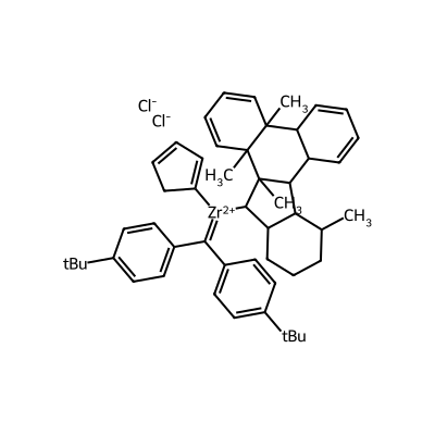 CC1CCCC2C1C1C3C=CC=CC3C3(C)C=CC=CC3(C)C1(C)[CH]2[Zr+2]([C]1=CC=CC1)=[C](c1ccc(C(C)(C)C)cc1)c1ccc(C(C)(C)C)cc1.[Cl-].[Cl-]